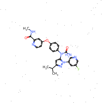 CNC(=O)c1cc(Oc2ccc(N(C(N)=O)c3cc(C(C)C)nn3-c3cncc(F)c3)cc2)ccn1